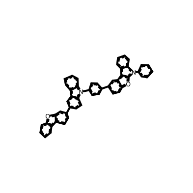 c1ccc(-n2c3ccccc3c3c4cc(-c5ccc(-n6c7ccccc7c7cc(-c8ccc9c(c8)oc8ccccc89)ccc76)cc5)ccc4oc32)cc1